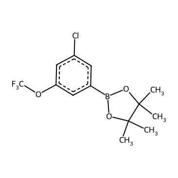 CC1(C)OB(c2cc(Cl)cc(OC(F)(F)F)c2)OC1(C)C